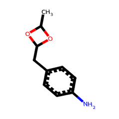 CC1OC(Cc2ccc(N)cc2)O1